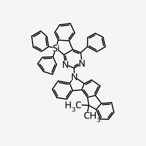 CC1(C)c2ccccc2-c2ccc3c(c21)c1ccccc1n3-c1nc(-c2ccccc2)c2c(n1)[Si](c1ccccc1)(c1ccccc1)c1ccccc1-2